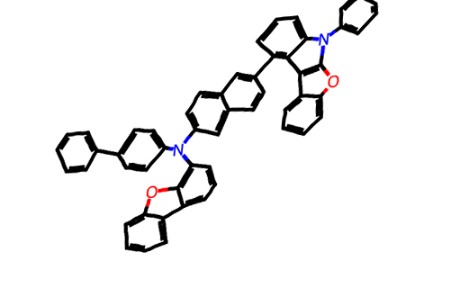 c1ccc(-c2ccc(N(c3ccc4cc(-c5cccc6c5c5c7ccccc7oc5n6-c5ccccc5)ccc4c3)c3cccc4c3oc3ccccc34)cc2)cc1